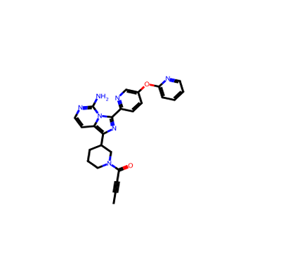 CC#CC(=O)N1CCCC(c2nc(-c3ccc(Oc4ccccn4)cn3)n3c(N)nccc23)C1